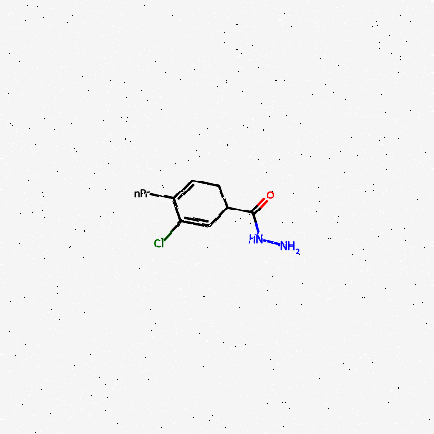 CCCC1=CCC(C(=O)NN)C=C1Cl